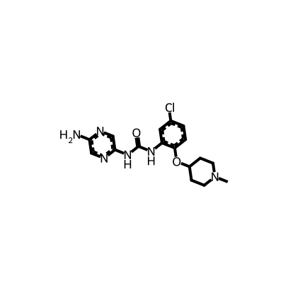 CN1CCC(Oc2ccc(Cl)cc2NC(=O)Nc2cnc(N)cn2)CC1